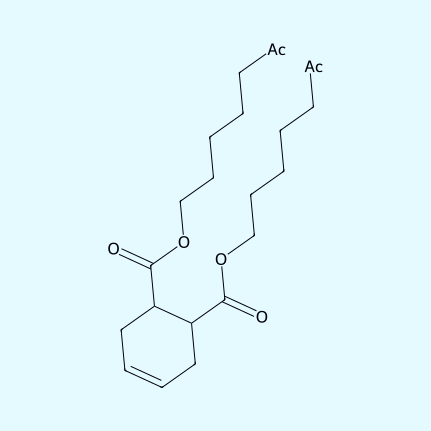 CC(=O)CCCCCOC(=O)C1CC=CCC1C(=O)OCCCCCC(C)=O